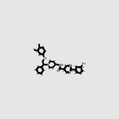 Cc1ccc(OCC(c2ccccc2)N2CCC(NC(=O)c3cnc(-c4cccc(F)c4)nc3)CC2)cc1C